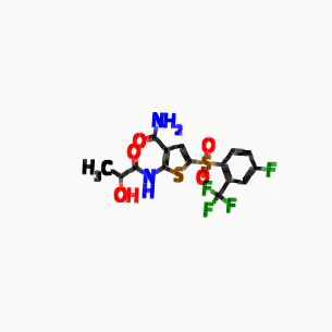 CC(O)C(=O)Nc1sc(S(=O)(=O)c2ccc(F)cc2C(F)(F)F)cc1C(N)=O